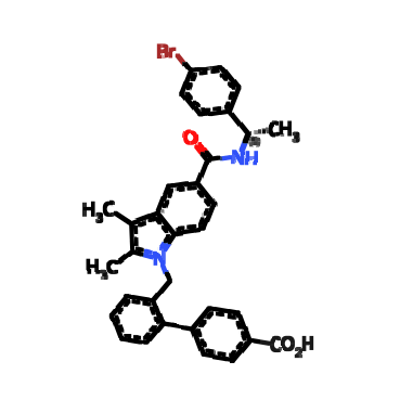 Cc1c(C)n(Cc2ccccc2-c2ccc(C(=O)O)cc2)c2ccc(C(=O)N[C@@H](C)c3ccc(Br)cc3)cc12